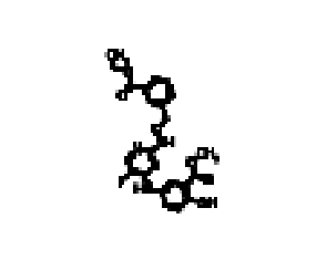 CCOC(=O)c1cccc(CONc2ncc(F)c(Nc3ccc(O)c(C(=O)OC)c3)n2)c1